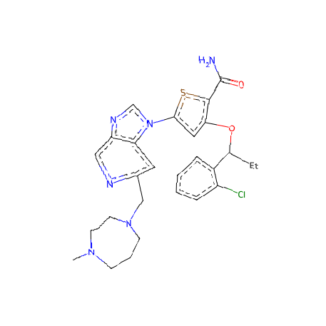 CCC(Oc1cc(-n2cnc3cnc(CN4CCCN(C)CC4)cc32)sc1C(N)=O)c1ccccc1Cl